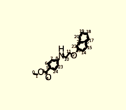 CCOC(=O)c1ccc(NCCOc2ccc3ccccc3c2)cc1